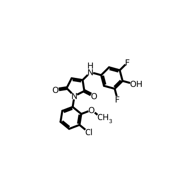 COc1c(Cl)cccc1N1C(=O)C=C(Nc2cc(F)c(O)c(F)c2)C1=O